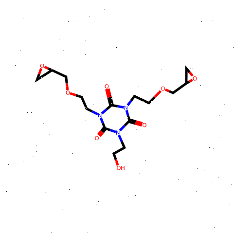 O=c1n(CCO)c(=O)n(CCOCC2CO2)c(=O)n1CCOCC1CO1